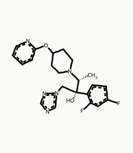 C[C@@H](N1CCC(Oc2ccccn2)CC1)[C@](O)(Cn1cncn1)c1ccc(F)cc1F